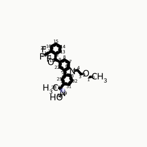 CCOCCn1c2ccc(C(=O)c3ccccc3C(F)(F)F)cc2c2cc(/C(C)=N/O)ccc21